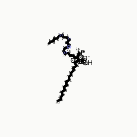 CCCCC/C=C\C/C=C\C/C=C\C/C=C\CCCC(=O)C(C[N+](C)(C)C)(OP(=O)([O-])O)C(=O)CCCCCCCCCCCCCCCCC